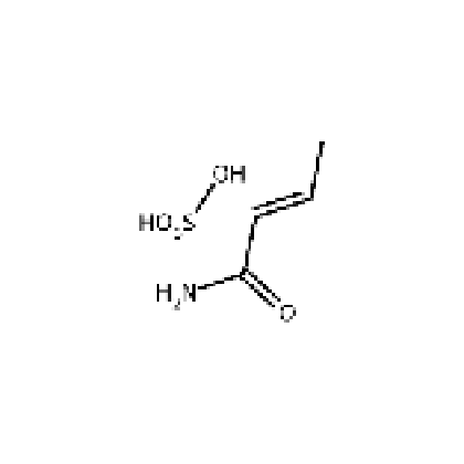 CC=CC(N)=O.O=S(=O)(O)O